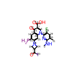 CNc1nc(-n2cc(C(=O)O)c(=O)c3cc(P)c(N4CC(C(=O)I)C4)cc32)c(F)cc1C